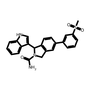 CS(=O)(=O)c1cccc(-c2ccc3c(c2)CN(C(N)=O)C3c2c[nH]c3ccccc23)c1